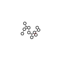 c1ccc(-c2ccc3c(c2)c2c(-c4cccc(N(c5ccc(-c6cccc7ccccc67)cc5)c5ccccc5-c5ccccc5)c4)cccc2n3-c2ccccc2)cc1